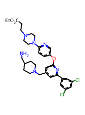 CCOC(=O)CCN1CCN(c2ccc(Oc3cc(CN4CCC(CN)CC4)cc(-c4cc(Cl)cc(Cl)c4)n3)cn2)CC1